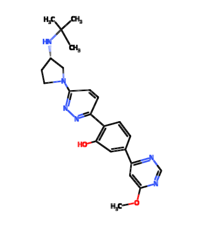 COc1cc(-c2ccc(-c3ccc(N4CC[C@H](NC(C)(C)C)C4)nn3)c(O)c2)ncn1